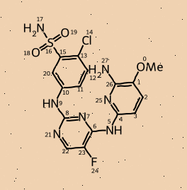 COc1ccc(Nc2nc(Nc3ccc(Cl)c(S(N)(=O)=O)c3)ncc2F)nc1N